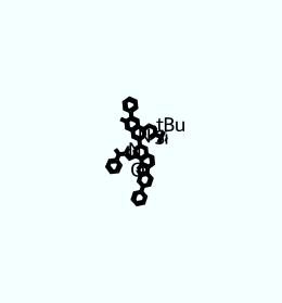 Cc1cc2c(cc1-c1ccccc1)C1CC(C(C)(C)C)C([Si](C)(C)C)=CN1C(C1Cc3ccc4c5c(oc4c3C3C=C(C(C)c4ccccc4)CN13)CC(C1C=CC=CC1)C=C5)=C2